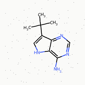 CC(C)(C)c1c[nH]c2c(N)ncnc12